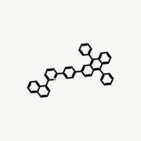 c1ccc(-c2c3ccccc3c(-c3ccccc3)c3cc(-c4ccc(-c5cccc(-c6cccc7ccccc67)n5)cc4)ccc23)cc1